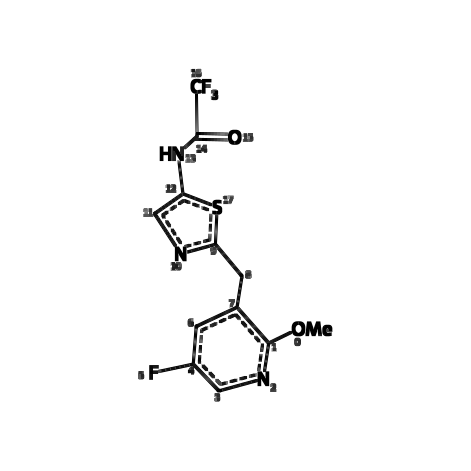 COc1ncc(F)cc1Cc1ncc(NC(=O)C(F)(F)F)s1